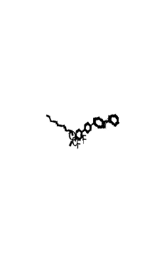 CCCCCCCCOC1(OCC)C=CC(c2ccc(-c3ccc(-c4ccccc4)cc3)cc2)=C(F)C1F